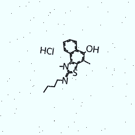 CCCCN=c1sc2c(C)c(O)c3ccccc3c2n1C.Cl